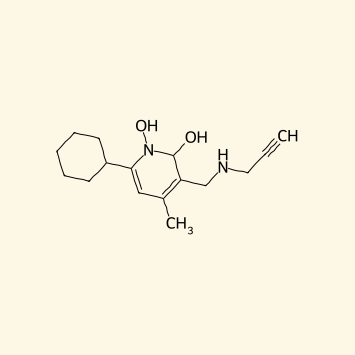 C#CCNCC1=C(C)C=C(C2CCCCC2)N(O)C1O